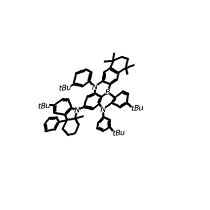 CC(C)(C)c1cccc(N2c3cc(C(C)(C)C)ccc3B3c4cc5c(cc4N(c4cccc(C(C)(C)C)c4)c4cc(N6c7ccc(C(C)(C)C)cc7C7(c8ccccc8)CCCCC67C)cc2c43)C(C)(C)CCC5(C)C)c1